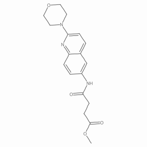 COC(=O)CCC(=O)Nc1ccc2nc(N3CCOCC3)ccc2c1